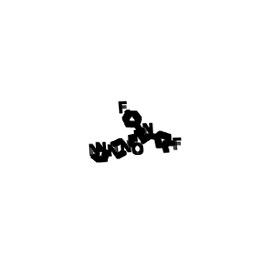 Cc1cc(-c2cn(CC(=O)N3CCN(c4cccnn4)CC3)c(-c3ccc(F)cc3)n2)ccc1F